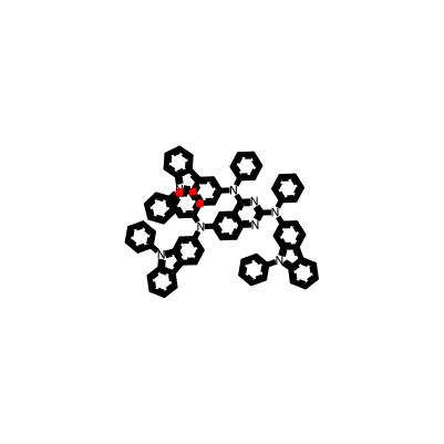 c1ccc(N(c2ccc3nc(N(c4ccccc4)c4ccc5c6ccccc6n(-c6ccccc6)c5c4)nc(N(c4ccccc4)c4ccc5c(c4)c4ccccc4n5-c4ccccc4)c3c2)c2ccc3c4ccccc4n(-c4ccccc4)c3c2)cc1